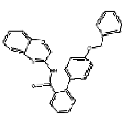 O=C(Nc1ccc2ccccc2n1)c1ccccc1-c1ccc(OCc2ccccc2)cc1